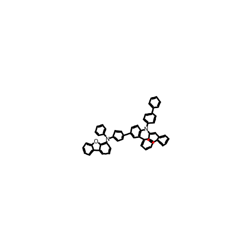 c1ccc(-c2ccc(N(c3ccc4ccccc4c3)c3ccc(-c4ccc(N(c5ccccc5)c5cccc6c5oc5ccccc56)cc4)cc3-c3ccccc3)cc2)cc1